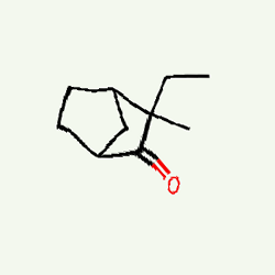 CCC1(C)C(=O)C2CCC1C2